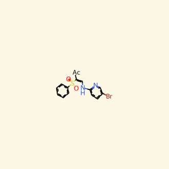 CC(=O)C(=CNc1ccc(Br)cn1)S(=O)(=O)c1ccccc1